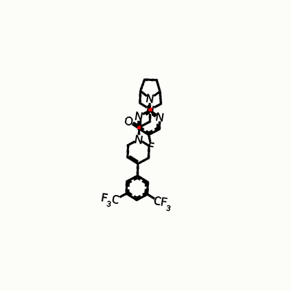 O=C(CN1CC2CCC(C1)N2c1ncc(F)cn1)N1CC=C(c2cc(C(F)(F)F)cc(C(F)(F)F)c2)CC1